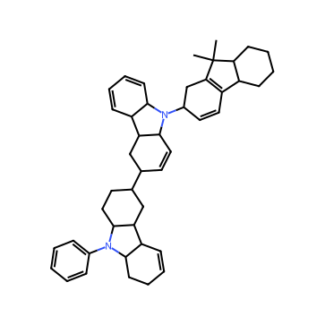 CC1(C)C2=C(C=CC(N3C4C=CC=CC4C4CC(C5CCC6C(C5)C5C=CCCC5N6c5ccccc5)C=CC43)C2)C2CCCCC21